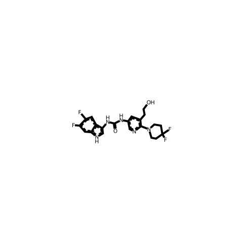 O=C(Nc1cnc(N2CCC(F)(F)CC2)c(CCO)c1)Nc1c[nH]c2cc(F)c(F)cc12